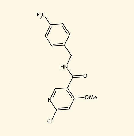 COc1cc(Cl)ncc1C(=O)NCc1ccc(C(F)(F)F)cc1